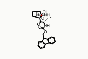 C[C@H](NC(=O)OCC1c2ccccc2-c2ccccc21)C(=O)C1C(N)CC2CCC1N2C(=O)O